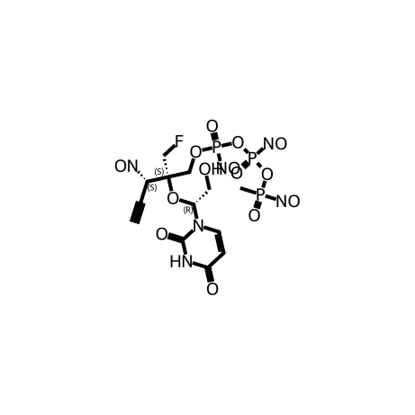 C#C[C@H](N=O)[C@@](CF)(COP(=O)(N=O)OP(=O)(N=O)OP(C)(=O)N=O)O[C@H](CO)n1ccc(=O)[nH]c1=O